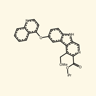 COCc1c(C(=O)OC(C)C)ncc2[nH]c3ccc(Oc4ccnc5ccccc45)cc3c12